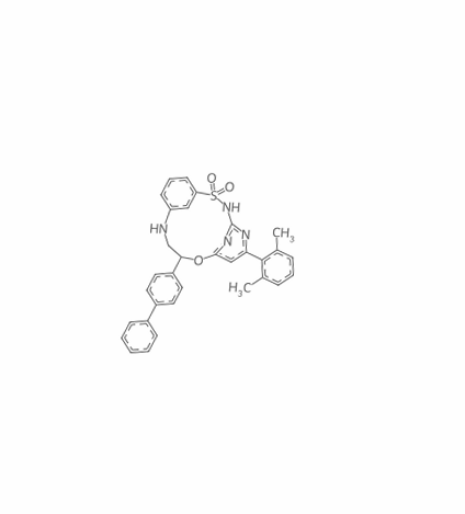 Cc1cccc(C)c1-c1cc2nc(n1)NS(=O)(=O)c1cccc(c1)NCC(c1ccc(-c3ccccc3)cc1)O2